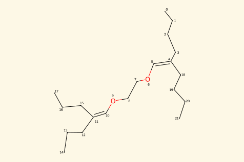 CCCCC(=COCCOC=C(CCC)CCC)CCCC